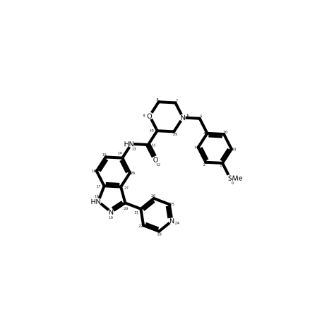 CSc1ccc(CN2CCOC(C(=O)Nc3ccc4[nH]nc(-c5ccncc5)c4c3)C2)cc1